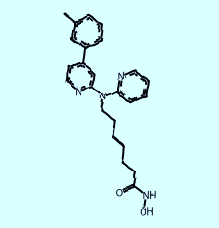 Cc1cccc(-c2ccnc(N(CCCCCCC(=O)NO)c3ccccn3)c2)c1